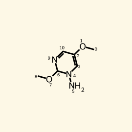 COC1=CN(N)C(OC)N=C1